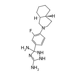 NC1=NC(N)(c2ccc(N3CC[C@H]4CCCC[C@@H]4C3)c(F)c2)NN1